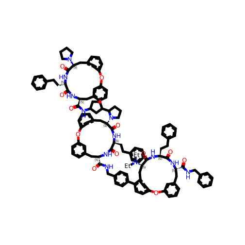 CCN(CC)[C@H]1Cc2cc(ccc2-c2ccc(CNC(=O)[C@@H]3Cc4cccc(c4)Oc4cccc(c4)C[C@H](N4CCCC4C4CCC(NC(=O)[C@@H]5Cc6cccc(c6)Oc6cccc(c6)C[C@H](N6CCCC6)C(=O)N[C@@H](CCc6ccccc6)C(=O)N5)C4)C(=O)N[C@@H](CCc4ccccc4)C(=O)N3)cc2)Oc2cccc(c2)C[C@@H](C(=O)NCc2ccccc2)NC(=O)[C@H](CCc2ccccc2)NC1=O